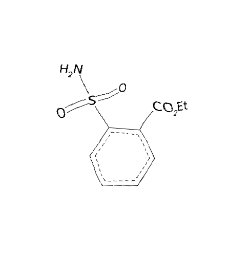 CCOC(=O)c1ccccc1S(N)(=O)=O